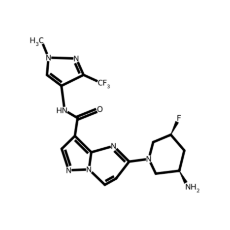 Cn1cc(NC(=O)c2cnn3ccc(N4C[C@H](N)C[C@H](F)C4)nc23)c(C(F)(F)F)n1